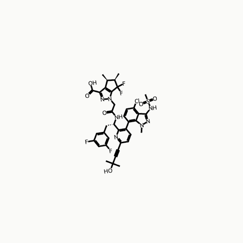 C[C@@H]1c2c(C(=O)O)nn(CC(=O)N[C@@H](Cc3cc(F)cc(F)c3)c3nc(C#CC(C)(C)O)ccc3-c3ccc(Cl)c4c(NS(C)(=O)=O)nn(C)c34)c2C(F)(F)[C@@H]1C